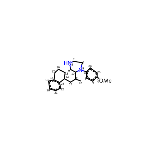 COc1ccc(N2CCNCC2C(C)CC2CCCc3ccccc32)cc1